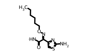 CCCCCCO/N=C(\C([NH])=O)c1csc(N)n1